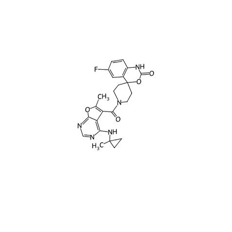 Cc1oc2ncnc(NC3(C)CC3)c2c1C(=O)N1CCC2(CC1)OC(=O)Nc1ccc(F)cc12